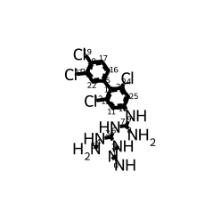 N=NNC(NN)NC(N)Nc1cc(Cl)c(-c2ccc(Cl)c(Cl)c2)c(Cl)c1